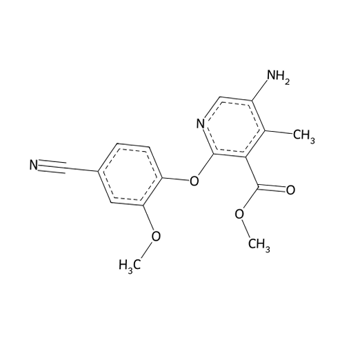 COC(=O)c1c(Oc2ccc(C#N)cc2OC)ncc(N)c1C